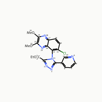 CCOC(=O)c1nnc(-c2cccnc2)n1-c1c(Cl)ccc2nc(OC)c(OC)nc12